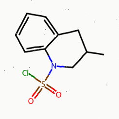 CC1Cc2ccccc2N(S(=O)(=O)Cl)C1